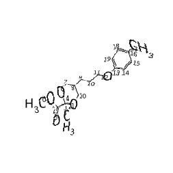 COC(=O)C1(C)OCC(CCCOc2ccc(C)cc2)CO1